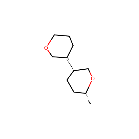 C[C@@H]1CC[C@H](C2CCCOC2)CO1